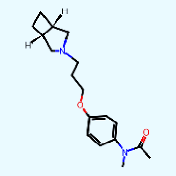 CC(=O)N(C)c1ccc(OCCCN2C[C@H]3CC[C@H]3C2)cc1